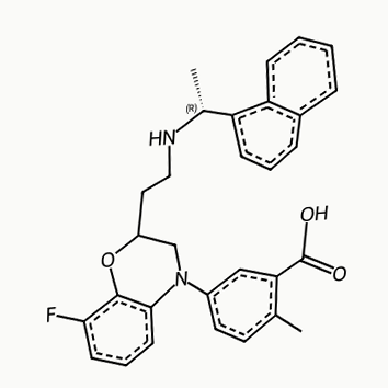 Cc1ccc(N2CC(CCN[C@H](C)c3cccc4ccccc34)Oc3c(F)cccc32)cc1C(=O)O